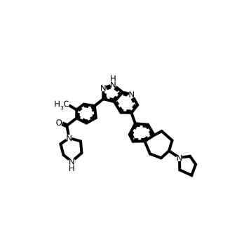 Cc1cc(-c2n[nH]c3ncc(-c4ccc5c(c4)CCC(N4CCCC4)CC5)cc23)ccc1C(=O)N1CCNCC1